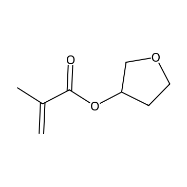 C=C(C)C(=O)OC1CCOC1